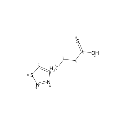 CCCC(O)=S.c1csnn1